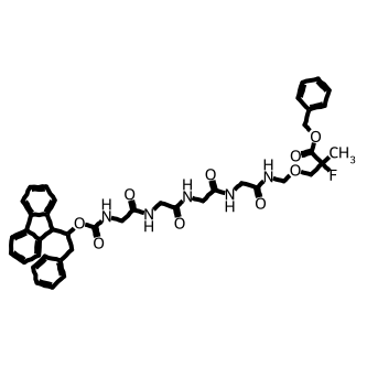 CC(F)(COCNC(=O)CNC(=O)CNC(=O)CNC(=O)CNC(=O)OC(Cc1ccccc1)C1c2ccccc2-c2ccccc21)C(=O)OCc1ccccc1